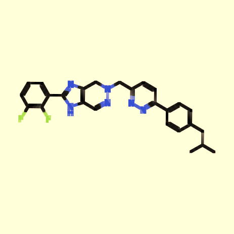 CC(C)Cc1ccc(-c2ccc(CN3Cc4nc(-c5cccc(F)c5F)[nH]c4C=N3)nn2)cc1